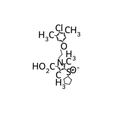 Cc1cc(OCCCn2c(C)c([S+]([O-])C3CCCC3)c(C)c2C(=O)O)cc(C)c1Cl